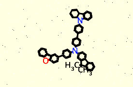 CC1(C)c2ccccc2-c2ccc(N(c3ccc(-c4ccc(N5c6ccccc6C6C=CC=CC65)cc4)cc3)c3ccc(-c4ccc5oc6ccccc6c5c4)cc3)cc21